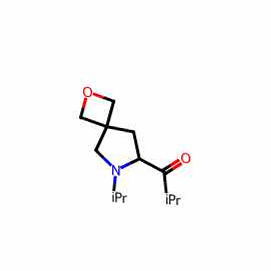 CC(C)C(=O)C1CC2(COC2)CN1C(C)C